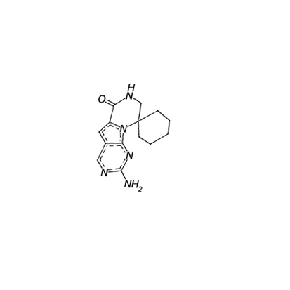 Nc1ncc2cc3n(c2n1)C1(CCCCC1)CNC3=O